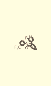 O=C(Nc1cccc(C(F)(F)F)c1)c1c(-c2ccnc(F)c2)c2oc1c1c2C1